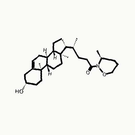 C[C@H](CCC(=O)N1OCCC[C@@H]1C)[C@H]1CC[C@H]2[C@@H]3CC=C4C[C@@H](O)CC[C@]4(C)[C@H]3CC[C@]12C